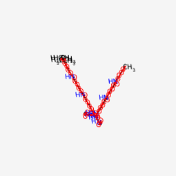 CCCOCCOCCOCCOCCNC(=O)CCOCCOCCOCCOCCNC(=O)CCOCCOCCOCCOCCNC(=O)C(NC(=O)CCCN1C(=O)C=CC1=O)C(NC(=O)CCCN1C(=O)C=CC1=O)C(=O)NCCOCCOCCOCCOCCC(=O)NCCOCCOCCOCCOCCC(=O)NCCOCCOCCOCCOCCC(C(C)(C)C)C(C)(C)C